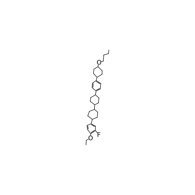 CCCCOC1CCC(c2ccc(C3CCC(C4CCC(c5ccc(OCC)c(F)c5)CC4)CC3)cc2)CC1